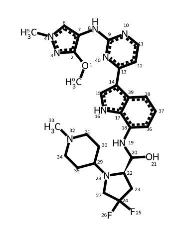 COc1nn(C)cc1Nc1nccc(-c2c[nH]c3c(NC(O)[C@H]4CC(F)(F)CN4C4CCN(C)CC4)cccc23)n1